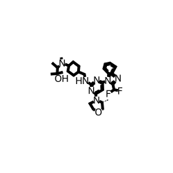 CC(N(C)C1CCC(CNc2nc(N3CCOC[C@H]3C)cc(-n3c(C(F)F)nc4ccccc43)n2)CC1)C(C)(C)O